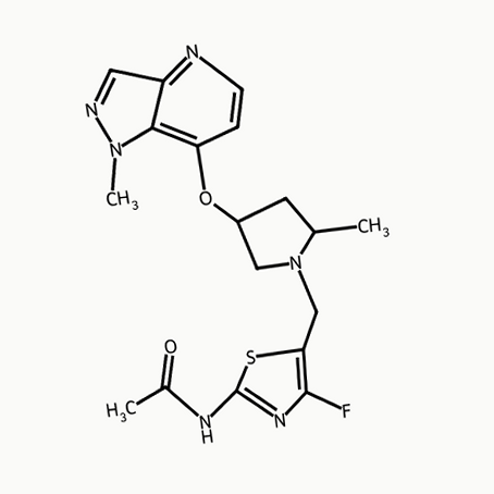 CC(=O)Nc1nc(F)c(CN2CC(Oc3ccnc4cnn(C)c34)CC2C)s1